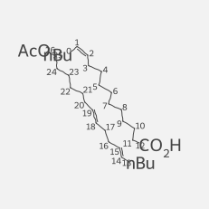 CCCC/C=C\CCCCCCCCCC(=O)O.CCCCC=CCC/C=C/CCCCCCOC(C)=O